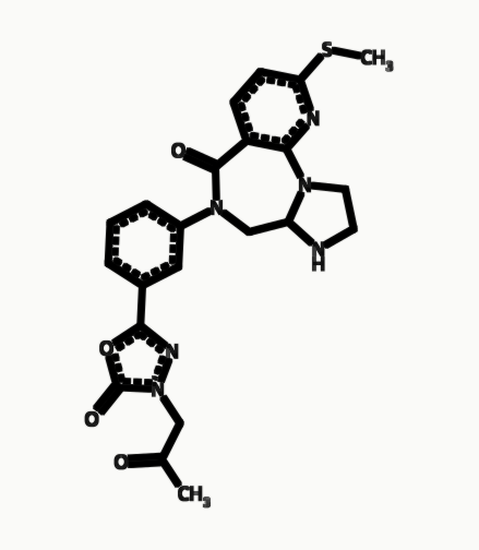 CSc1ccc2c(n1)N1CCNC1CN(c1cccc(-c3nn(CC(C)=O)c(=O)o3)c1)C2=O